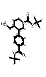 CC(C)(C)OC(=O)c1ccc(C2CN(C(=O)OC(C)(C)C)CCC2CO)cc1